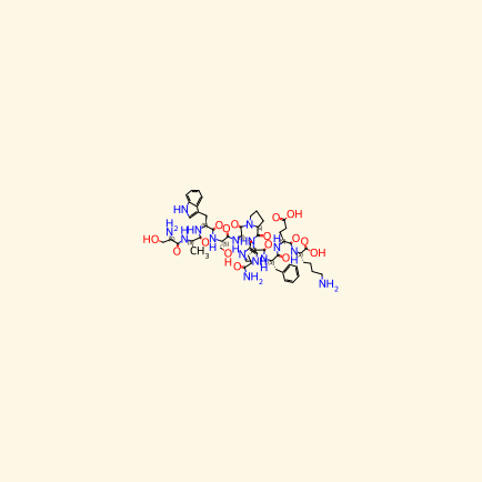 C[C@H](NC(=O)[C@@H](N)CO)C(=O)N[C@@H](Cc1c[nH]c2ccccc12)C(=O)N[C@@H](CO)C(=O)N[C@@H](Cc1c[nH]cn1)C(=O)N1CCC[C@H]1C(=O)N[C@@H](CCC(N)=O)C(=O)N[C@@H](Cc1ccccc1)C(=O)N[C@@H](CCC(=O)O)C(=O)N[C@@H](CCCCN)C(=O)O